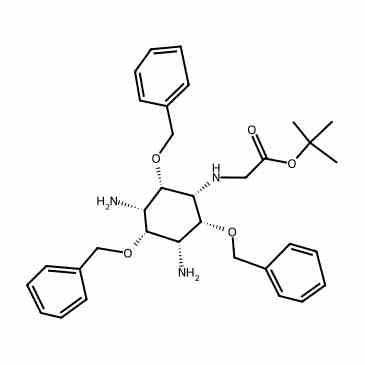 CC(C)(C)OC(=O)CN[C@@H]1[C@H](OCc2ccccc2)[C@H](N)[C@H](OCc2ccccc2)[C@H](N)[C@@H]1OCc1ccccc1